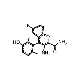 Cc1ccc(O)c(C)c1-c1c(N)c(C(N)=O)nc2ccc(F)cc12